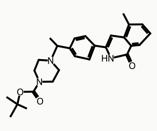 Cc1cccc2c(=O)[nH]c(-c3ccc(C(C)N4CCN(C(=O)OC(C)(C)C)CC4)cc3)cc12